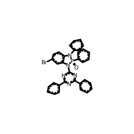 O=P1(c2ccccc2)N(c2ccccc2)c2ccc(Br)cc2N1c1nc(-c2ccccc2)nc(-c2ccccc2)n1